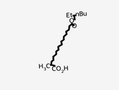 CCCCC(CC)COC(=O)CCCCCCCCCCCCCCCC(C)CC(=O)O